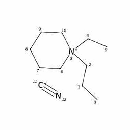 CCC[N+]1(CC)CCCCC1.[C-]#N